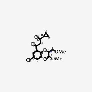 CO/C=C(/Oc1ccc(Cl)cc1C(=O)CC(=O)C1CC1)C(=O)OC